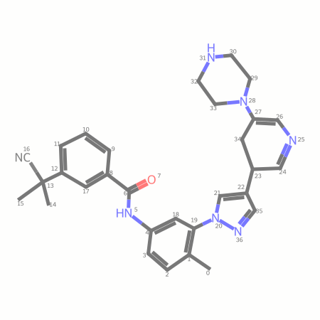 Cc1ccc(NC(=O)c2cccc(C(C)(C)C#N)c2)cc1-n1cc(C2C=NC=C(N3CCNCC3)C2)cn1